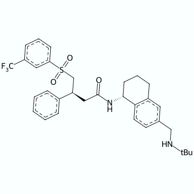 CC(C)(C)NCc1ccc2c(c1)CCC[C@H]2NC(=O)C[C@H](CS(=O)(=O)c1cccc(C(F)(F)F)c1)c1ccccc1